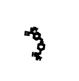 CCCC(CC)c1ccc(CN2CCC(CNC(C)C)CC2)cc1